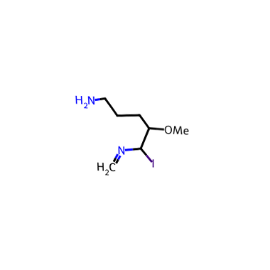 C=NC(I)C(CCCN)OC